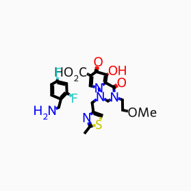 COCCN1CN(Cc2csc(C)n2)n2cc(C(=O)O)c(=O)c(O)c2C1=O.NCc1ccc(F)cc1F